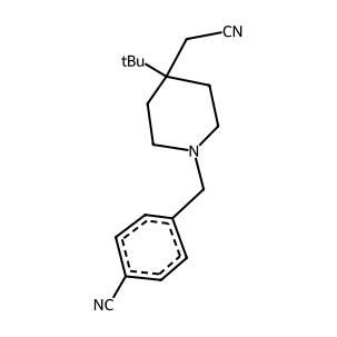 CC(C)(C)C1(CC#N)CCN(Cc2ccc(C#N)cc2)CC1